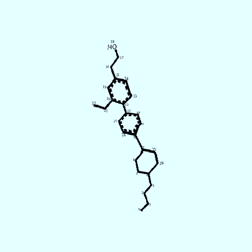 CCCCC1CCC(c2ccc(-c3ccc(CCO)cc3CC)cc2)CC1